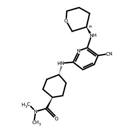 CN(C)C(=O)[C@H]1CC[C@H](Nc2ccc(C#N)c(N[C@@H]3CCCOC3)n2)CC1